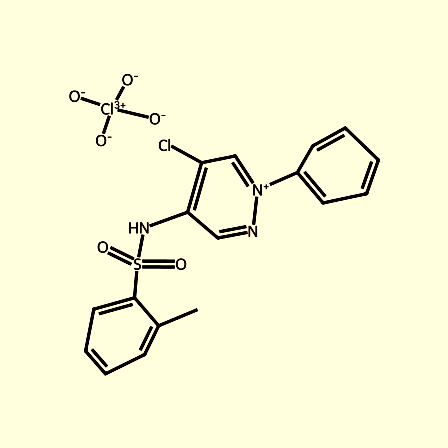 Cc1ccccc1S(=O)(=O)Nc1cn[n+](-c2ccccc2)cc1Cl.[O-][Cl+3]([O-])([O-])[O-]